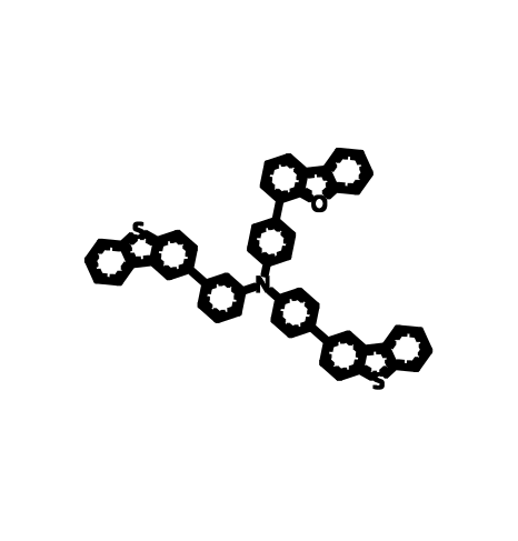 c1cc(-c2ccc3sc4ccccc4c3c2)cc(N(c2ccc(-c3ccc4sc5ccccc5c4c3)cc2)c2ccc(-c3cccc4c3oc3ccccc34)cc2)c1